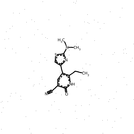 CCc1[nH]c(=O)c(C#N)cc1-c1csc(N(C)C)n1